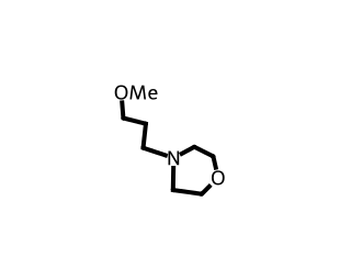 [CH2]OCCCN1CCOCC1